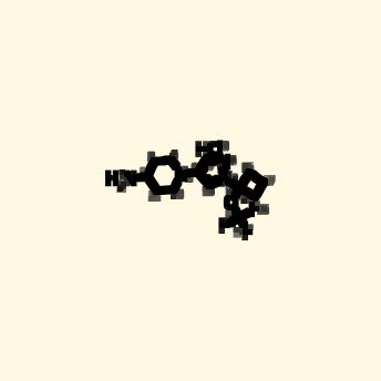 Cl.NC1CCN(c2cnn(C3(OC(F)(F)F)CCC3)c2)CC1